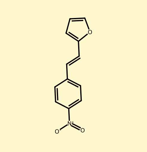 O=[N+]([O-])c1ccc(/C=C/c2ccco2)cc1